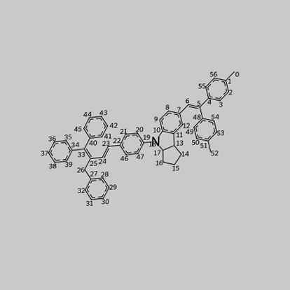 Cc1ccc(C(=Cc2ccc3c(c2)C2CCCC2N3c2ccc(/C=C/C(Cc3ccccc3)=C(c3ccccc3)c3ccccc3)cc2)c2ccc(C)cc2)cc1